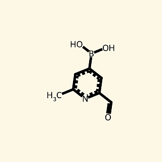 Cc1cc(B(O)O)cc(C=O)n1